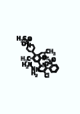 Cc1cc(-c2ncc(Cl)c(-c3ccccc3S(=O)(=O)C(C)C)n2)c2c(c1C1CCN(S(C)(=O)=O)CC1)CC(C)O2.NN